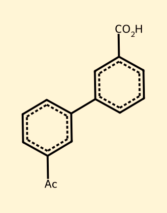 CC(=O)c1cccc(-c2cccc(C(=O)O)c2)c1